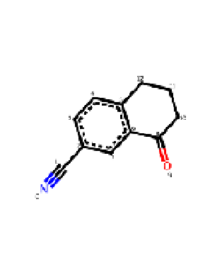 N#Cc1ccc2c(c1)C(=O)CCC2